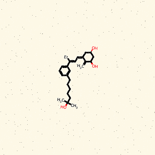 C=C1/C(=C\C=C(/CC)c2cccc(CCCCCC(C)(C)O)c2)C[C@@H](O)CC1O